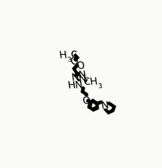 CCOC(=O)Cc1nc(NCCCOc2cccc(CN3CCCCC3)c2)n(C)n1